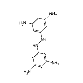 Nc1cc(N)cc(NNc2nc(N)nc(N)n2)c1